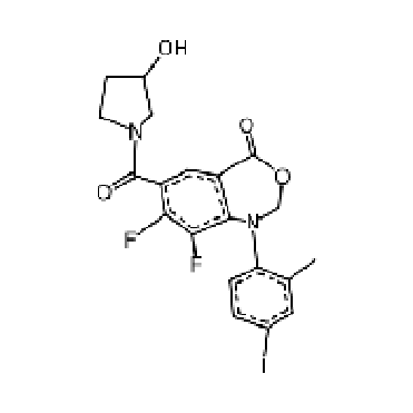 Cc1cc(I)ccc1N1COC(=O)c2cc(C(=O)N3CCC(O)C3)c(F)c(F)c21